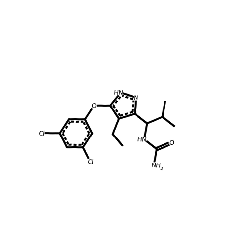 CCc1c(C(NC(N)=O)C(C)C)n[nH]c1Oc1cc(Cl)cc(Cl)c1